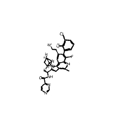 Cc1nc2c(F)c(-c3cccc(Cl)c3Cl)c(CCC#N)cc2c2c1cc(C(C)NC(=O)c1ccncn1)n2[C@H]1[C@H]2CN[C@@H]1C2